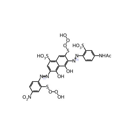 CC(=O)Nc1ccc(/N=N/c2c(SOOO)cc3c(S(=O)(=O)O)cc(/N=N/c4ccc([N+](=O)[O-])cc4SOOO)c(O)c3c2O)c(S(=O)(=O)O)c1